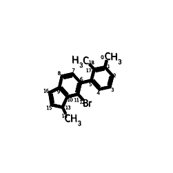 Cc1cccc(-c2ccc3c(c2Br)C(C)C=C3)c1C